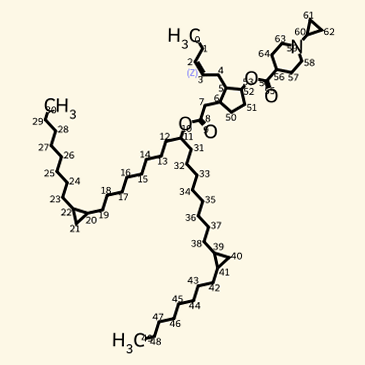 CC/C=C\CC1C(CC(=O)OC(CCCCCCCCC2CC2CCCCCCCC)CCCCCCCCC2CC2CCCCCCCC)CCC1OC(=O)C1CCN(C2CC2)CC1